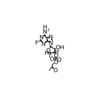 CC(=O)COP1(=O)OC[C@H]2O[C@@H](n3cnc4c(N)nc(F)nc43)C(O)[C@H]2O1